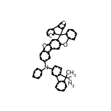 CC1(C)c2ccccc2-c2cc(N(c3ccccc3)c3ccc4oc5cc6c(cc5c4c3)Oc3ccccc3C63c4ccccc4-c4ccccc43)ccc21